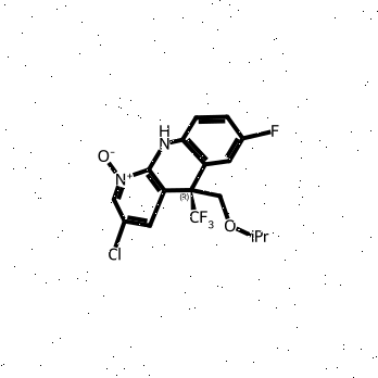 CC(C)OC[C@@]1(C(F)(F)F)c2cc(F)ccc2Nc2c1cc(Cl)c[n+]2[O-]